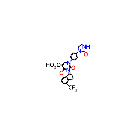 O=C(O)c1cn(-c2ccc(N3CCNC3=O)cc2)c(=O)n([C@@H]2CCc3c2cccc3C(F)(F)F)c1=O